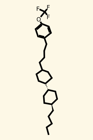 CCCCC[C@H]1CC[C@H](C2CCC(CCCCc3ccc(OC(F)(F)F)cc3)CC2)CC1